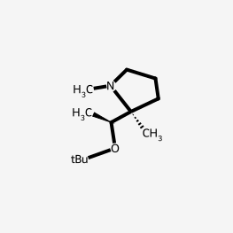 C[C@H](OC(C)(C)C)[C@]1(C)CCCN1C